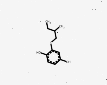 CCC(C)CSc1cc(O)ccc1O